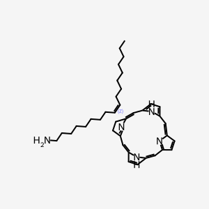 C1=Cc2cc3ccc(cc4nc(cc5ccc(cc1n2)[nH]5)CC4)[nH]3.CCCCCCCC/C=C\CCCCCCCCN